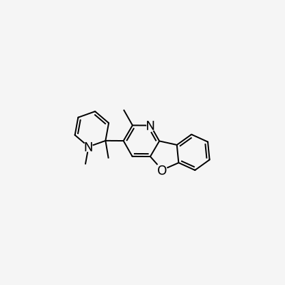 Cc1nc2c(cc1C1(C)C=CC=CN1C)oc1ccccc12